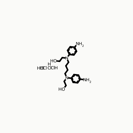 Cl.Cl.Cl.Cl.Nc1ccc(N(CCO)CCCCN(CCO)c2ccc(N)cc2)cc1